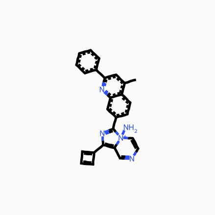 Cc1cc(-c2ccccc2)nc2cc(C3=NC(C4=CC=C4)=C4C=NC=C[N+]34N)ccc12